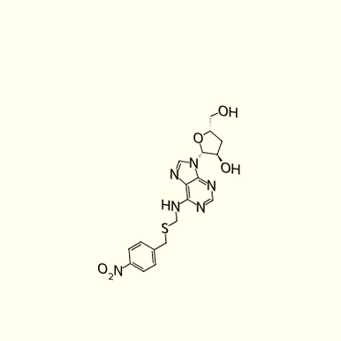 O=[N+]([O-])c1ccc(CSCNc2ncnc3c2ncn3[C@@H]2O[C@H](CO)C[C@H]2O)cc1